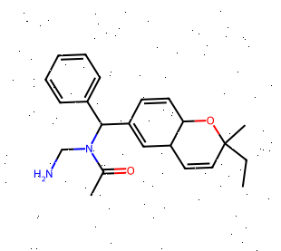 CCC1(C)C=CC2C=C(C(c3ccccc3)N(CN)C(C)=O)C=CC2O1